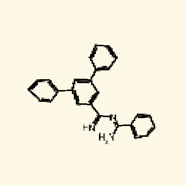 N=C(/N=C(\N)c1ccccc1)c1cc(-c2ccccc2)cc(-c2ccccc2)c1